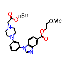 CCCCOC(=O)CN1CCN(c2cccc(-n3cnc4cc(C(=O)OCCOC)ccc43)c2)CC1